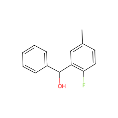 Cc1ccc(F)c(C(O)c2ccccc2)c1